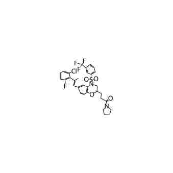 CC(=Cc1ccc2c(c1)N(S(=O)(=O)c1cccc(C(F)(F)F)c1)CC(CCC(=O)N1CCCC1)O2)c1c(F)cccc1Cl